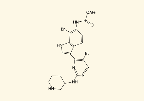 CCc1cnc(NC2CCCNC2)nc1-c1c[nH]c2c(Br)c(NC(=O)OC)ccc12